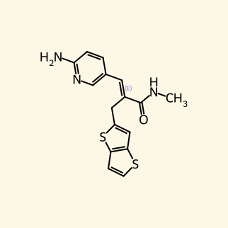 CNC(=O)/C(=C/c1ccc(N)nc1)Cc1cc2sccc2s1